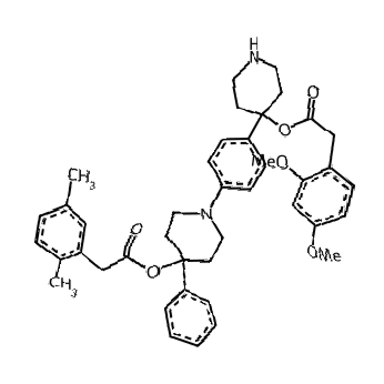 COc1ccc(CC(=O)OC2(c3ccc(N4CCC(OC(=O)Cc5cc(C)ccc5C)(c5ccccc5)CC4)cc3)CCNCC2)c(OC)c1